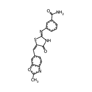 Cc1nc2ccc(C=C3SC(=Nc4cccc(C(N)=O)c4)NC3=O)cc2o1